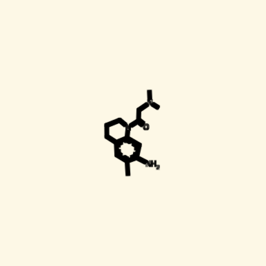 Cc1cc2c(cc1N)N(C(=O)CN(C)C)CCC2